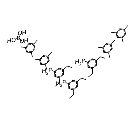 CCc1cc(P)cc(CC)c1.CCc1cc(P)cc(CC)c1.CCc1cc(P)cc(CC)c1.Cc1cc(C)cc(C)c1.Cc1cc(C)cc(C)c1.Cc1cc(C)cc(C)c1.Cc1cc(C)cc(C)c1.OB(O)O